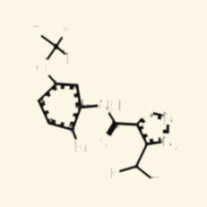 FC(F)c1nnsc1C(=S)Nc1cc(OC(F)(F)F)ccc1Br